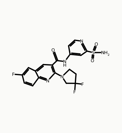 NS(=O)(=O)c1cc(NC(=O)c2cc3cc(F)ccc3nc2N2CCC(F)(F)C2)ccn1